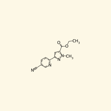 CCOC(=O)c1cc(-c2ccc(C#N)cn2)nn1C